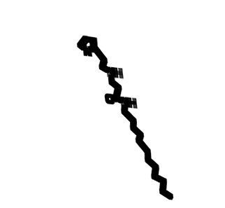 CCCCCCCCCCCCNC(=O)CCNCCC1=CCC=N1